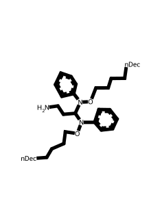 CCCCCCCCCCCCCCON(c1ccccc1)C(CCN)N(OCCCCCCCCCCCCCC)c1ccccc1